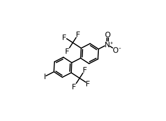 O=[N+]([O-])c1ccc(-c2ccc(I)cc2C(F)(F)F)c(C(F)(F)F)c1